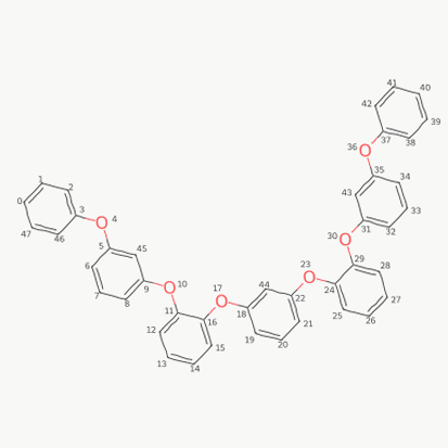 c1ccc(Oc2cccc(Oc3ccccc3Oc3cccc(Oc4ccccc4Oc4cccc(Oc5ccccc5)c4)c3)c2)cc1